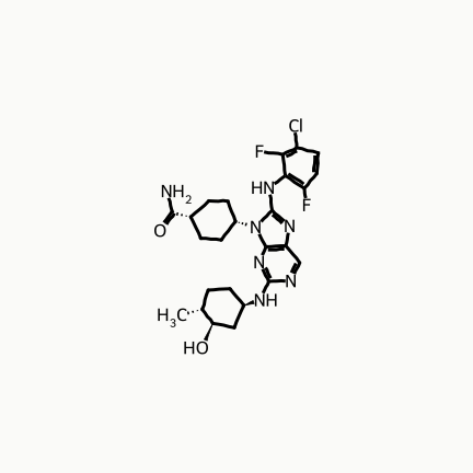 C[C@@H]1CC[C@@H](Nc2ncc3nc(Nc4c(F)ccc(Cl)c4F)n([C@H]4CC[C@@H](C(N)=O)CC4)c3n2)C[C@H]1O